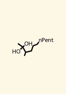 CCCCCCCCC(C)C(C)(O)O